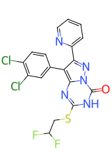 O=c1[nH]c(SCC(F)F)nc2c(-c3ccc(Cl)c(Cl)c3)c(-c3ccccn3)nn12